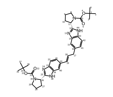 CC(C)(C)OC(=O)N1CCC[C@H]1c1nc2cc(CC=Cc3ccc4nc([C@@H]5CCCN5C(=O)OC(C)(C)C)[nH]c4c3)ccc2[nH]1